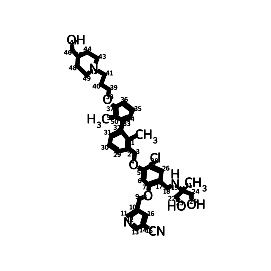 Cc1c(COc2cc(OCc3cncc(C#N)c3)c(CNC(C)(CO)CO)cc2Cl)cccc1-c1cccc(OCCCN2CCC(CO)CC2)c1C